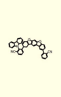 N#Cc1ccccc1-c1ccc2oc3cc4oc5c(c4cc3c2c1)CC(c1cccc(C#N)c1N1c2ccccc2C2C=CC=CC21)C=C5